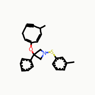 Cc1cccc(SN2CC(OC3=C/CC#CC(C)/C=C\3)(c3ccccc3)C2)c1